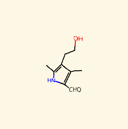 Cc1[nH]c(C=O)c(C)c1CCO